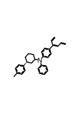 C=C/C=C(\C=C)c1ccc(N(c2ccccc2)C2CCC[C@H](c3ccc(C)cc3)C2)cc1